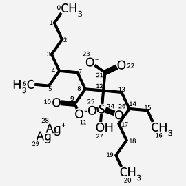 CCCCC(CC)CC(C(=O)[O-])C(CC(CC)CCCC)(C(=O)[O-])S(=O)(=O)O.[Ag+].[Ag+]